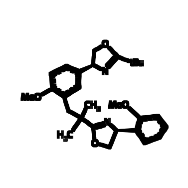 COc1ccc([C@H]2COC(C(C)(C)C)=N2)cc1CC(C)(C)C1=N[C@@H](c2ccccc2OC)CO1